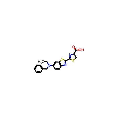 CCN(Cc1ccccc1)c1ccc2nc(C3=NC(C(=O)O)CS3)sc2c1